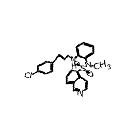 CN(c1ccccc1NCC=Cc1ccc(Cl)cc1)S(=O)(=O)c1cccc2cnccc12